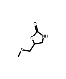 CSCC1CNC(=O)O1